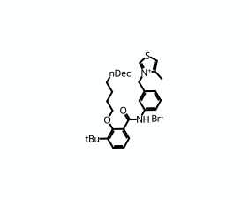 CCCCCCCCCCCCCCOc1c(C(=O)Nc2cccc(C[n+]3cscc3C)c2)cccc1C(C)(C)C.[Br-]